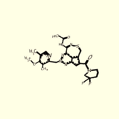 COc1c(C)cnc(Cn2nc3cc(C(=O)N4CCC(F)(F)C4)c4c-3c(n2)C(NC(=O)O)=NSC4)c1C